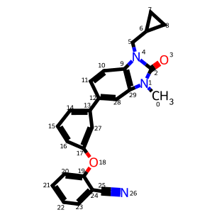 Cn1c(=O)n(CC2CC2)c2ccc(-c3cccc(Oc4ccccc4C#N)c3)cc21